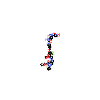 COc1c(NC(=O)CN2CCC3(CC2)CC(COc2ccc(-c4ccc(N5CCc6ccnc(C(=O)N(COCC[Si](C)(C)C)c7nc8ccccc8s7)c6C5)nc4C(=O)OC(C)(C)C)c(C(F)(F)F)c2)C3)ccc2c(C3CCC(=O)NC3=O)nn(C)c12